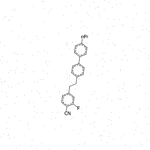 CCCc1ccc(-c2ccc(CCc3ccc(C#N)c(F)c3)cc2)cc1